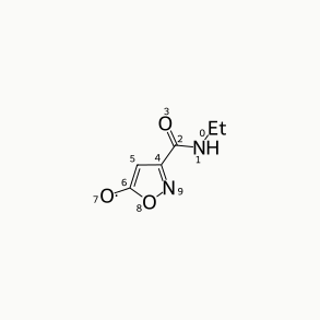 CCNC(=O)c1cc([O])on1